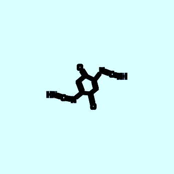 N=C=NC1=CC(=O)C(N=C=N)=CC1=O